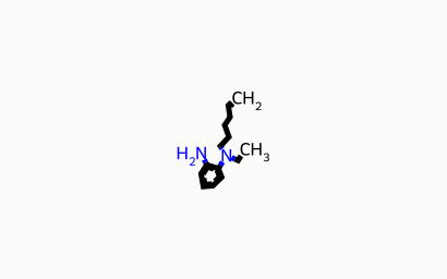 C=CCCCCN(CC)c1ccccc1N